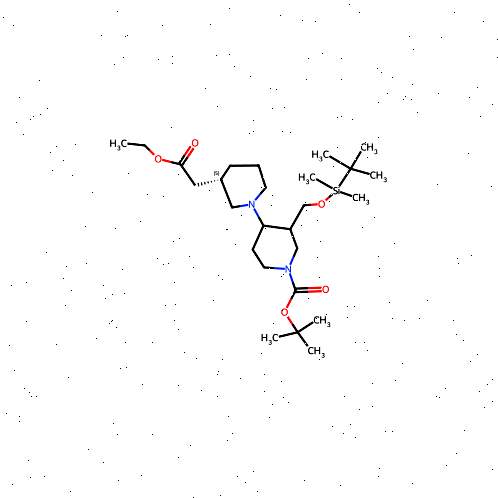 CCOC(=O)C[C@@H]1CCCN(C2CCN(C(=O)OC(C)(C)C)CC2CO[Si](C)(C)C(C)(C)C)C1